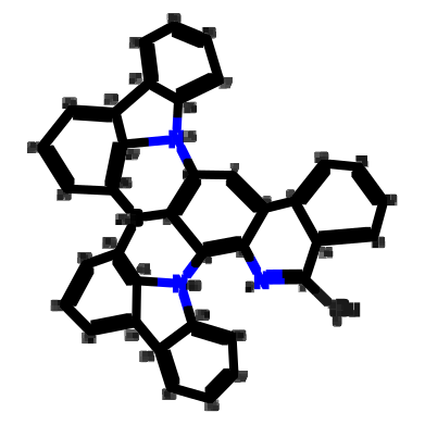 CC(C)(C)c1nc2c3c4c(cc2c2ccccc12)-n1c2ccccc2c2cccc(c21)B4c1cccc2c4ccccc4n-3c12